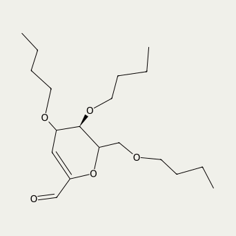 CCCCOCC1OC(C=O)=CC(OCCCC)[C@H]1OCCCC